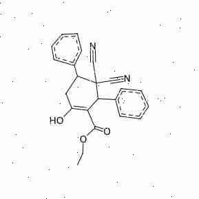 CCOC(=O)C1=C(O)CC(c2ccccc2)C(C#N)(C#N)C1c1ccccc1